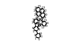 c1ccc(-c2ccc3c(c2)B2c4ccccc4N(c4ccc5ccc6cccc7ccc4c5c67)c4cccc-3c42)cc1